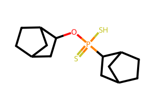 S=P(S)(OC1CC2CCC1C2)C1CC2CCC1C2